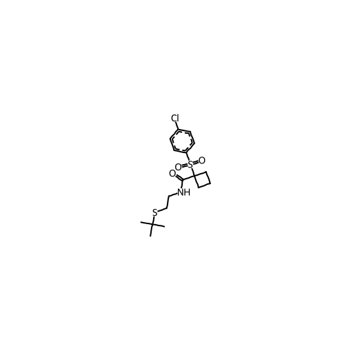 CC(C)(C)SCCNC(=O)C1(S(=O)(=O)c2ccc(Cl)cc2)CCC1